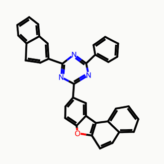 c1ccc(-c2nc(-c3ccc4ccccc4c3)nc(-c3ccc4oc5ccc6ccccc6c5c4c3)n2)cc1